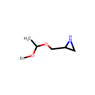 CCOC(C)OCC1CN1